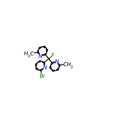 Cc1cccc(C(F)(c2cccc(C)n2)c2cccc(Br)n2)n1